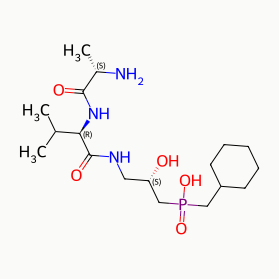 CC(C)[C@@H](NC(=O)[C@H](C)N)C(=O)NC[C@H](O)CP(=O)(O)CC1CCCCC1